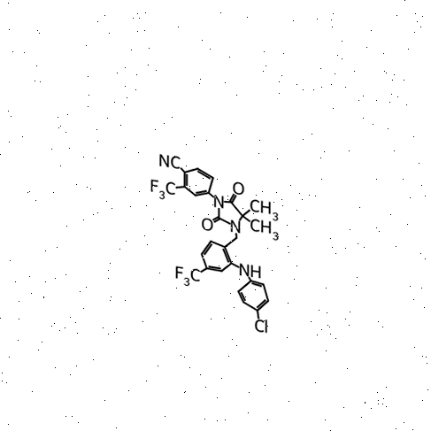 CC1(C)C(=O)N(c2ccc(C#N)c(C(F)(F)F)c2)C(=O)N1Cc1ccc(C(F)(F)F)cc1Nc1ccc(Cl)cc1